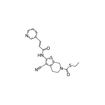 CCSC(=O)N1CCc2c(sc(NC(=O)C=Cc3cccnc3)c2C#N)C1